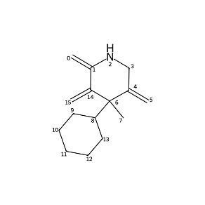 C=C1NCC(=C)C(C)(C2CCCCC2)C1=C